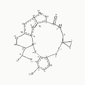 O=C1NCC2(CC2)COc2ccc(F)cc2CN2c3nc4c1cnn4cc3OCC2C(F)F